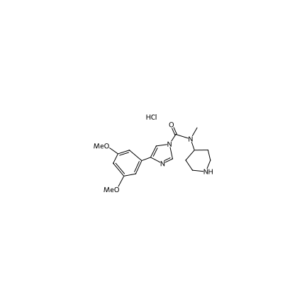 COc1cc(OC)cc(-c2cn(C(=O)N(C)C3CCNCC3)cn2)c1.Cl